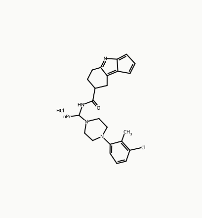 CCCC(NC(=O)C1CCC2=NC3=CC=CC3=C2C1)N1CCN(c2cccc(Cl)c2C)CC1.Cl